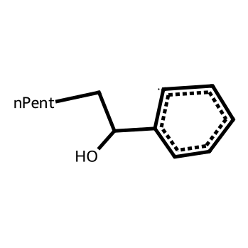 CCCCCCC(O)c1[c]cccc1